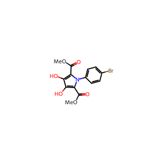 COC(=O)c1c(O)c(O)c(C(=O)OC)n1-c1ccc(Br)cc1